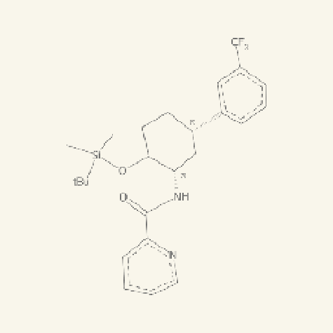 CC(C)(C)[Si](C)(C)OC1CC[C@H](c2cccc(C(F)(F)F)c2)C[C@@H]1NC(=O)c1ccccn1